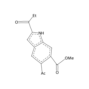 CCC(=O)c1cc2cc(C(C)=O)c(C(=O)OC)cc2[nH]1